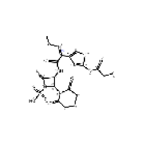 CO/N=C(\C(=O)N[C@@H]1C(=O)N(S(=O)(=O)O)[C@@H]1N1C(=O)CCCC1=O)c1csc(NC(=O)CCl)n1